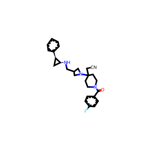 N#CCC1(N2CC(CN[C@@H]3C[C@H]3c3ccccc3)C2)CCN(C(=O)c2ccc(F)cc2)CC1